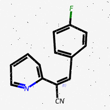 N#C/C(=C/c1ccc(F)cc1)c1ccccn1